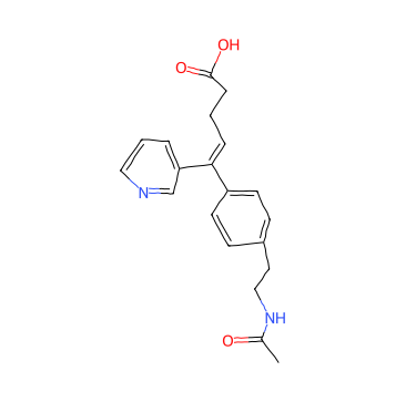 CC(=O)NCCc1ccc(C(=CCCC(=O)O)c2cccnc2)cc1